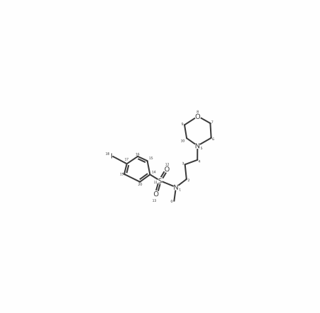 CN(CCCN1CCOCC1)S(=O)(=O)c1ccc(I)cc1